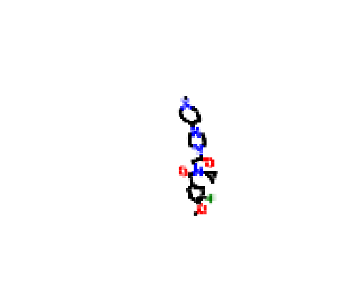 COc1ccc(C(=O)N(CC(=O)N2CCN(C3CCN(C)CC3)CC2)C2CC2)cc1F